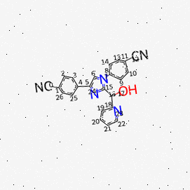 N#Cc1ccc(-c2cn(-c3ccc(C#N)cc3)c(C(O)c3ccccn3)n2)cc1